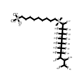 C[Si](C)(CCCCCCCCC[Si](Cl)(Cl)Cl)C(F)C(F)(F)C(F)(F)C(F)(F)C(F)(F)C(F)(F)C(F)(F)C(F)C(F)C(F)F